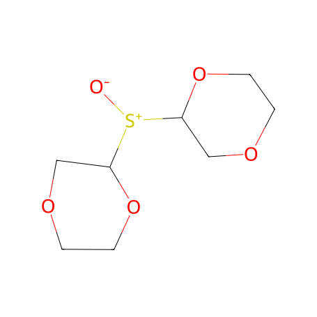 [O-][S+](C1COCCO1)C1COCCO1